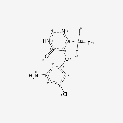 Nc1cc(Cl)cc(Oc2c(C(F)(F)F)nc[nH]c2=O)c1